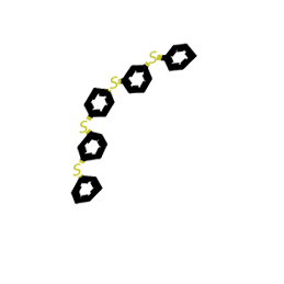 c1ccc(Sc2cccc(Sc3ccc(Sc4cccc(Sc5ccccc5)c4)cc3)c2)cc1